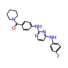 O=C(c1ccc(Nc2nccc(Nc3ccc(F)cc3)n2)cc1)N1CCCCC1